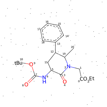 CCOC(=O)CN1C(=O)C(NC(=O)OC(C)(C)C)CC(c2ccccc2)C1C